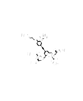 CCN(CC)c1cc(C#Cc2cc(CN(COC(C)=O)CC(=O)OC)nc(CN(CC(=O)OC)CC(=O)OC)c2)ccc1OCCCN